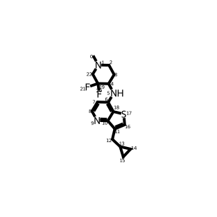 CN1CCC(Nc2ccnc3c(CC4CC4)csc23)C(F)(F)C1